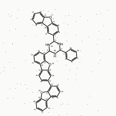 c1ccc(C2NC(c3ccc4oc5ccccc5c4c3)NC(c3cccc4c3oc3cc(-c5cccc6c5oc5ccccc56)ccc34)N2)cc1